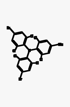 CC(C)(C)c1cc(Cl)c(N(c2c(Cl)cc(Br)cc2Cl)c2c(Cl)cc(Br)cc2Cl)c(Cl)c1